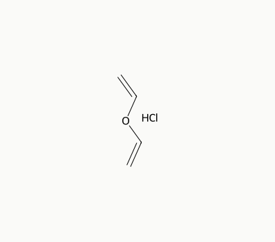 C=COC=C.Cl